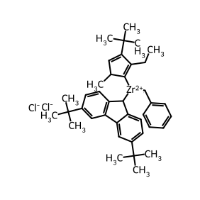 CCC1=[C](/[Zr+2](=[CH]/c2ccccc2)[CH]2c3ccc(C(C)(C)C)cc3-c3cc(C(C)(C)C)ccc32)C(C)C=C1C(C)(C)C.[Cl-].[Cl-]